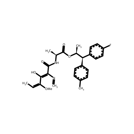 C=N/C(C(=O)N[C@@H](C)C(=O)O[C@@H](C)[C@H](c1ccc(C)cc1)c1ccc(F)cc1)=C(O)\C(=C/C)OC